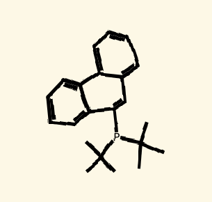 CC(C)(C)P(c1cc2ccccc2c2ccccc12)C(C)(C)C